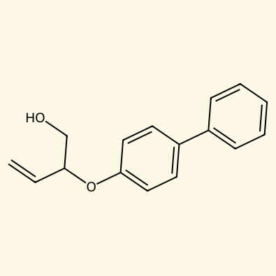 C=CC(CO)Oc1ccc(-c2ccccc2)cc1